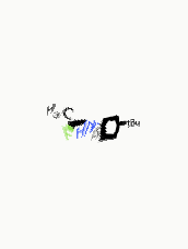 CC(F)CN[C@@H]1CC=C(C(C)(C)C)CC1